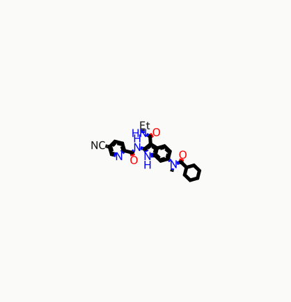 CCNC(=O)c1c(NC(=O)c2ccc(C#N)cn2)[nH]c2cc(N(C)C(=O)C3CCCCC3)ccc12